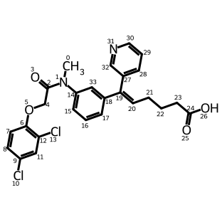 CN(C(=O)COc1ccc(Cl)cc1Cl)c1cccc(C(=CCCCC(=O)O)c2cccnc2)c1